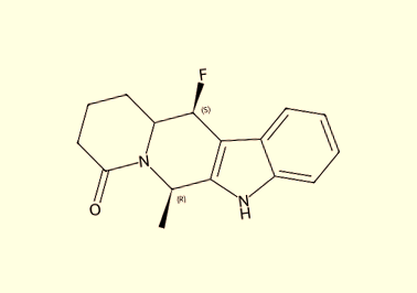 C[C@@H]1c2[nH]c3ccccc3c2[C@H](F)C2CCCC(=O)N21